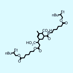 CCCCC(CC)COC(=O)CCCCCOC(=O)CC(C(=O)O)C1C=C(C)C(C(=O)O)C(C(=O)OCCCCCC(=O)OCC(CC)CCCC)C1